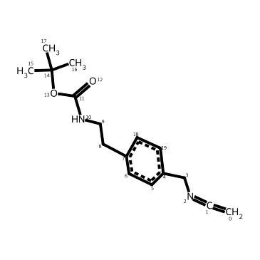 C=C=NCc1ccc(CCNC(=O)OC(C)(C)C)cc1